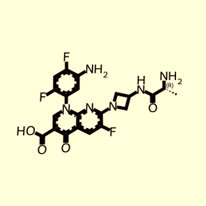 C[C@@H](N)C(=O)NC1CN(c2nc3c(cc2F)c(=O)c(C(=O)O)cn3-c2cc(N)c(F)cc2F)C1